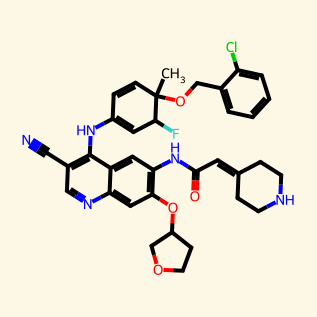 CC1(OCc2ccccc2Cl)C=CC(Nc2c(C#N)cnc3cc(OC4CCOC4)c(NC(=O)C=C4CCNCC4)cc23)=CC1F